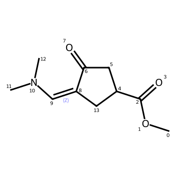 COC(=O)C1CC(=O)/C(=C\N(C)C)C1